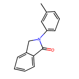 Cc1cccc(N2Cc3ccccc3C2=O)c1